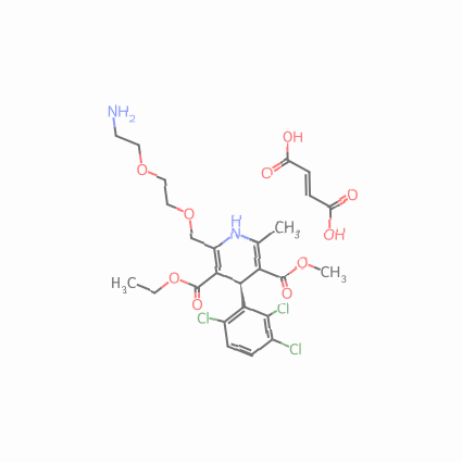 CCOC(=O)C1=C(COCCOCCN)NC(C)=C(C(=O)OC)[C@H]1c1c(Cl)ccc(Cl)c1Cl.O=C(O)/C=C/C(=O)O